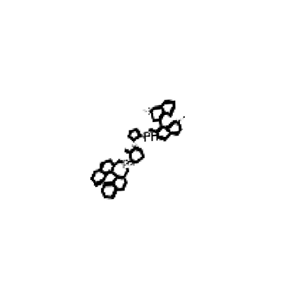 CC1[C@H](C2CCC[C@@H]2PCc2ccc3c(c2C2=c4ccccc4=C[C@@H](C)C2)=C[C@H](C)CC=3)CCC[C@@H]1P1Cc2ccc3c(c2C2=c4ccccc4=CCC2C1)=CCCC=3